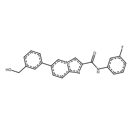 O=C(Nc1cccc(F)c1)c1cn2cc(-c3cccc(CO)c3)ccc2n1